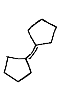 [CH]1CCCC1=C1CCCC1